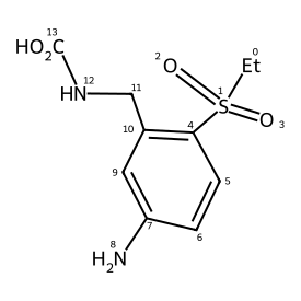 CCS(=O)(=O)c1ccc(N)cc1CNC(=O)O